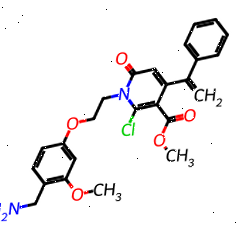 C=C(c1ccccc1)c1cc(=O)n(CCOc2ccc(CN)c(OC)c2)c(Cl)c1C(=O)OC